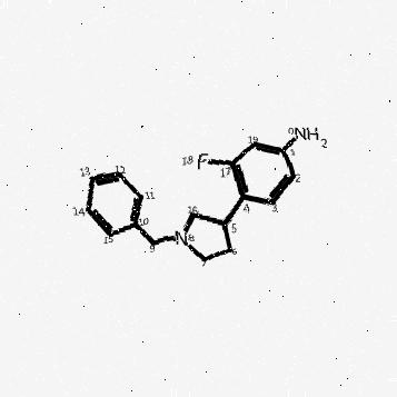 Nc1ccc(C2CCN(Cc3ccccc3)C2)c(F)c1